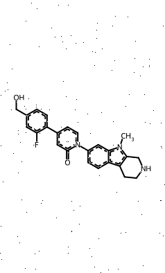 Cn1c2c(c3ccc(-n4ccc(-c5ccc(CO)cc5F)cc4=O)cc31)CCNC2